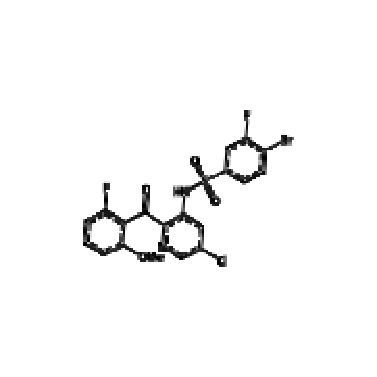 COc1cccc(F)c1C(=O)c1ncc(Cl)cc1NS(=O)(=O)c1ccc(Br)c(F)c1